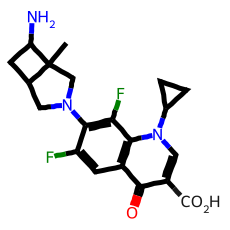 CC12CN(c3c(F)cc4c(=O)c(C(=O)O)cn(C5CC5)c4c3F)CC1CC2N